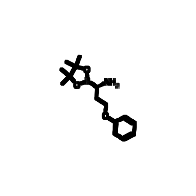 CC1(C)OB([C@@H](N)CCOc2ccccc2)OC1(C)C